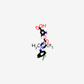 C[C@@H]1CN(C(=O)COc2c(I)cc(C(=O)O)cc2I)[C@@H](C)CN1Cc1ccc(F)cc1